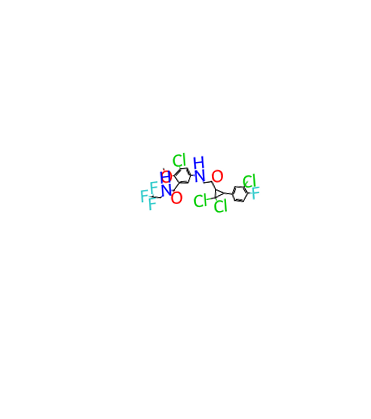 COc1c(Cl)cc(NCC(=O)C2C(c3ccc(F)c(Cl)c3)C2(Cl)Cl)cc1C(=O)NCC(F)(F)F